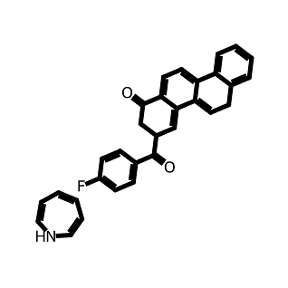 C1=CC=CNC=C1.O=C1CC(C(=O)c2ccc(F)cc2)C=c2c1ccc1c2=CCc2ccccc2-1